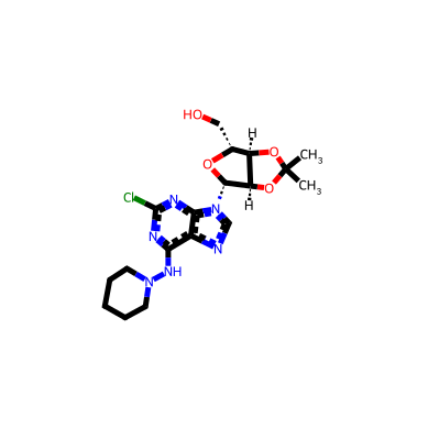 CC1(C)O[C@@H]2[C@H](O1)[C@@H](CO)O[C@H]2n1cnc2c(NN3CCCCC3)nc(Cl)nc21